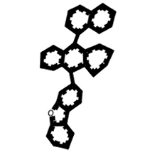 c1ccc2c(-c3c4ccccc4c(-c4ccc5c(c4)oc4ccccc45)c4ccccc34)cccc2c1